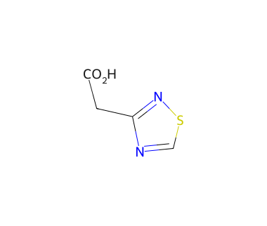 O=C(O)Cc1ncsn1